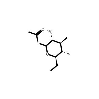 CC[C@H]1OC(OC(C)=O)[C@H]([18F])[C@@H](C)[C@@H]1C